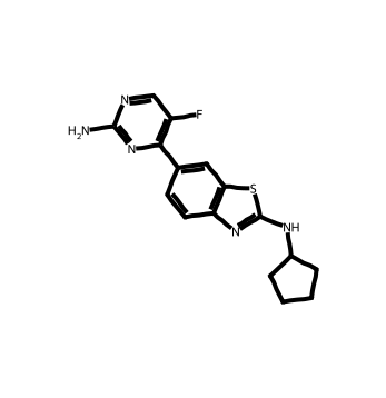 Nc1ncc(F)c(-c2ccc3nc(NC4CCCC4)sc3c2)n1